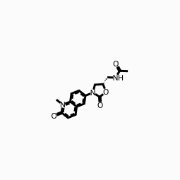 CC(=O)NC[C@H]1CN(c2ccc3c(ccc(=O)n3C)c2)C(=O)O1